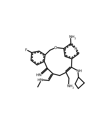 CN/C=C1/C/C(CN)=C(/NC2CCC2)c2cnc(N)c(c2)OCc2cc(F)ccc2C1=N